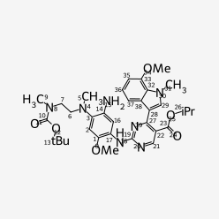 COc1cc(N(C)CCN(C)C(=O)OC(C)(C)C)c(N)cc1Nc1ncc(C(=O)OC(C)C)c(-c2cn(C)c3c(OC)cccc23)n1